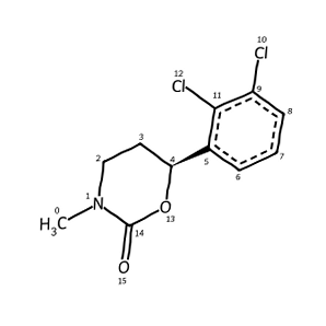 CN1CC[C@@H](c2cccc(Cl)c2Cl)OC1=O